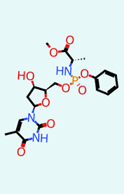 COC(=O)[C@H](C)NP(=O)(OC[C@H]1O[C@@H](n2cc(C)c(=O)[nH]c2=O)C[C@H]1O)Oc1ccccc1